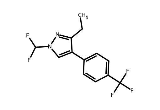 CCc1nn(C(F)F)cc1-c1ccc(C(F)(F)F)cc1